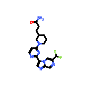 NC(=O)CCC1CCCN(c2ccnc(-c3cnc4cnc(C(F)F)cn34)n2)C1